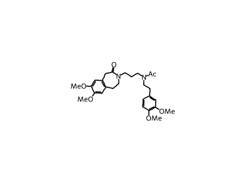 COc1ccc(CCN(CCCN2CCc3cc(OC)c(OC)cc3CC2=O)C(C)=O)cc1OC